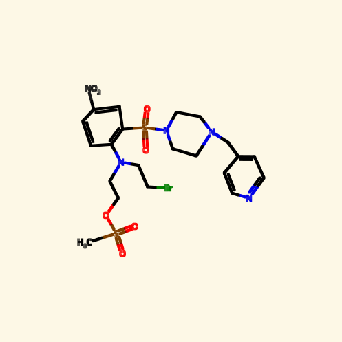 CS(=O)(=O)OCCN(CCBr)c1ccc([N+](=O)[O-])cc1S(=O)(=O)N1CCN(Cc2ccncc2)CC1